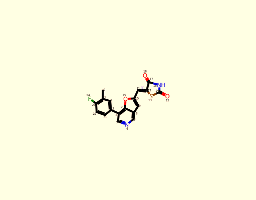 Cc1cc(-c2cncc3cc(/C=C4\SC(=O)NC4=O)oc23)ccc1F